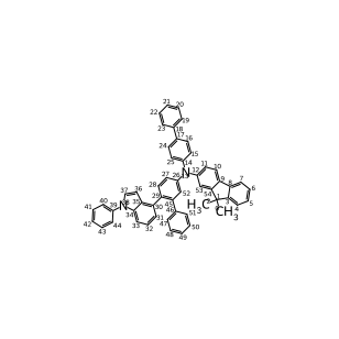 CC1(C)c2ccccc2-c2ccc(N(c3ccc(-c4ccccc4)cc3)c3ccc(-c4cccc5c4ccn5-c4ccccc4)c(-c4ccccc4)c3)cc21